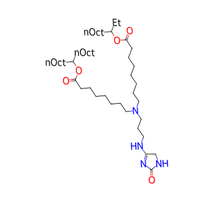 CCCCCCCCC(CC)OC(=O)CCCCCCCN(CCCCCCCC(=O)OC(CCCCCCCC)CCCCCCCC)CCCNC1=NC(=O)NC1